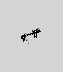 Cc1cc(NC(=O)CCCCCOc2cccc(C(F)(F)F)c2)ccn1